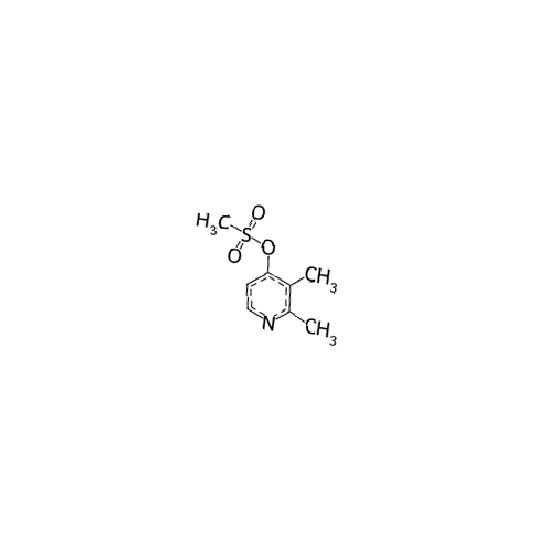 Cc1nccc(OS(C)(=O)=O)c1C